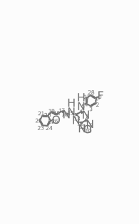 Fc1ccc(Nc2nc3nonc3nc2NN=Cc2cc3ccccc3o2)cc1